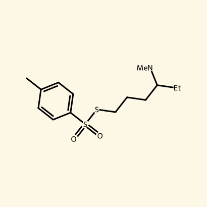 CCC(CCCSS(=O)(=O)c1ccc(C)cc1)NC